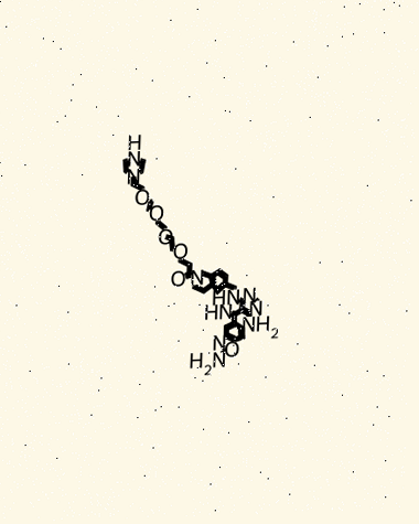 N=C(c1ccc2oc(N)nc2c1)c1c(N)ncnc1NCc1ccc2c(c1)CCN(C(=O)CCOCCOCCOCCOCCN1CCNCC1)C2